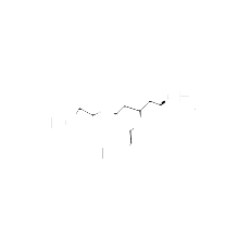 C=CCC(CCOCCO)OCCO